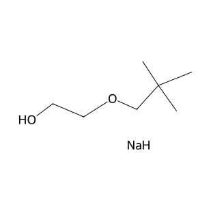 CC(C)(C)COCCO.[NaH]